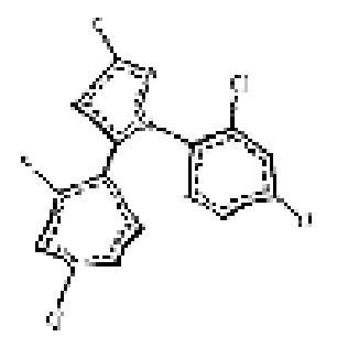 [O]c1cc(-c2ccc(Cl)cc2F)n(-c2ccc(Cl)cc2Cl)n1